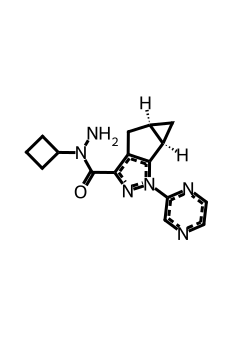 NN(C(=O)c1nn(-c2cnccn2)c2c1C[C@H]1C[C@@H]21)C1CCC1